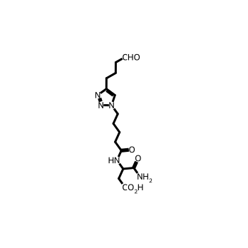 NC(=O)C(CC(=O)O)NC(=O)CCCCn1cc(CCCC=O)nn1